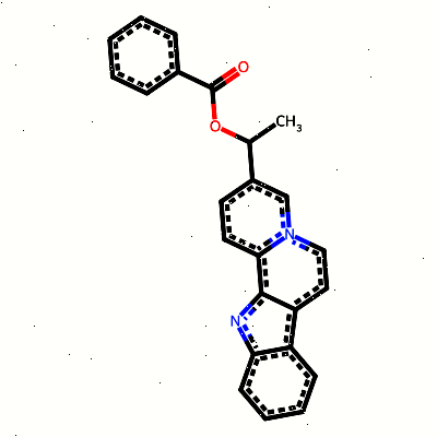 CC(OC(=O)c1ccccc1)c1ccc2c3nc4ccccc4c-3ccn2c1